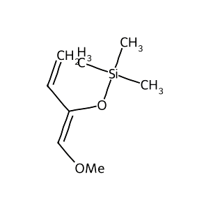 C=CC(=COC)O[Si](C)(C)C